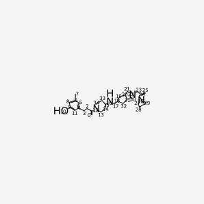 C=C(CCc1cc(C)cc(O)c1)N1CCC(NCC2CC3CN(CC(=C)N4CCC4)CC3C2)CC1